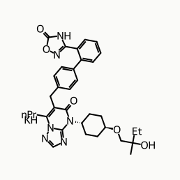 CCCc1c(Cc2ccc(-c3ccccc3-c3noc(=O)[nH]3)cc2)c(=O)n([C@H]2CC[C@H](OCC(C)(O)CC)CC2)c2ncnn12.[KH]